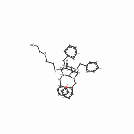 O=C1C2N(Cc3ccccc3)C3C(=O)C(OCCOCCO)(N2Cc2ccccc2)N(Cc2ccccc2)C1N3Cc1ccccc1